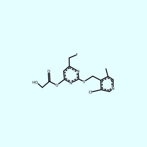 Cc1cncc(Cl)c1CSc1nc(CF)cc(OC(=O)CO)n1